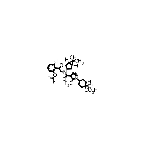 CC1(C(=O)O)CCC(n2ncc(C(=O)N(CC(=O)c3c(Cl)cccc3OC(F)F)[C@H]3C[C@@H]4[C@H](C3)C4(C)C)c2C(F)(F)F)CC1